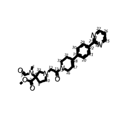 COC(=O)C1(N(C)C=O)CCN(CC(=O)N2CC=C(c3ccc(-c4ncccn4)cc3)CC2)C1